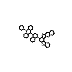 c1ccc(-c2c3ccccc3c(-c3ccc(-c4cc5sc6ccccc6c5c5c4sc4cc6ccccc6cc45)c4ccccc34)c3ccccc23)cc1